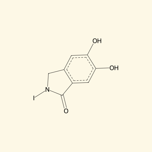 O=C1c2cc(O)c(O)cc2CN1I